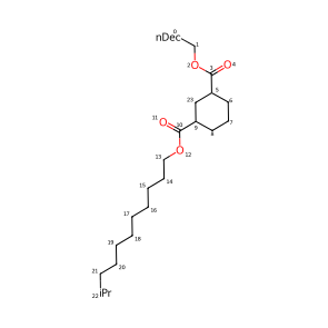 CCCCCCCCCCCOC(=O)C1CCCC(C(=O)OCCCCCCCCCC(C)C)C1